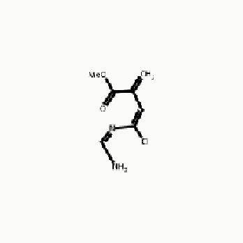 C=C(/C=C(Cl)\N=C/N)C(=O)OC